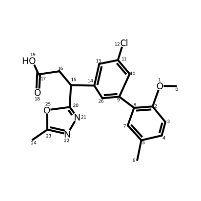 COc1ccc(C)cc1-c1cc(Cl)cc(C(CC(=O)O)c2nnc(C)o2)c1